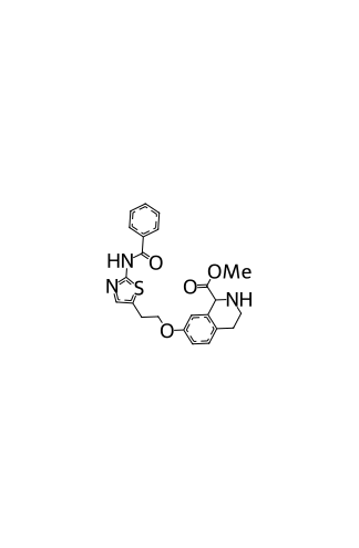 COC(=O)C1NCCc2ccc(OCCc3cnc(NC(=O)c4ccccc4)s3)cc21